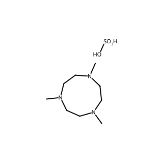 CN1CCN(C)CCN(C)CC1.O=S(=O)(O)O